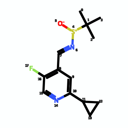 CC(C)(C)[S+]([O-])/N=C/c1cc(C2CC2)ncc1F